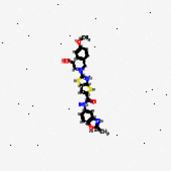 COc1ccc(CN(CCO)c2nc3sc(C(=O)Nc4ccc5oc(C)nc5c4)cc3s2)cc1